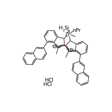 CC[CH2][Zr]([CH3])(=[SiH2])([CH]1C(C(C)(C)C)=C(C)c2c(-c3ccc4ccccc4c3)cccc21)[CH]1C(C(C)(C)C)=C(C)c2c(-c3ccc4ccccc4c3)cccc21.Cl.Cl